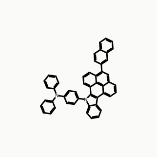 c1ccc(N(c2ccccc2)c2ccc(-n3c4ccccc4c4c5cccc6cc(-c7ccc8ccccc8c7)c7cccc(c7c65)c43)cc2)cc1